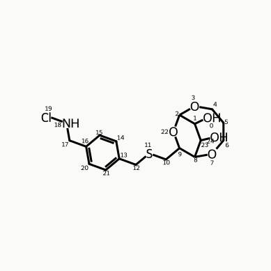 OC1C2OCCCOC(C(CSCc3ccc(CNCl)cc3)O2)C1O